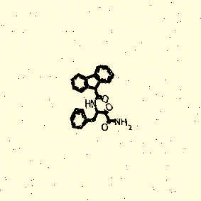 NC(=O)C(=O)C(Cc1ccccc1)NC(=O)C1c2ccccc2-c2ccccc21